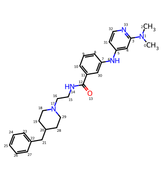 CN(C)c1cc(Nc2cccc(C(=O)NCCN3CCC(Cc4ccccc4)CC3)c2)ccn1